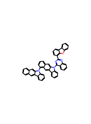 c1ccc2cc3c(cc2c1)c1ccccc1n3-c1cccc2cc3c(cc12)c1ccccc1n3-c1nc(-c2cccc3c2oc2ccccc23)nc2ccccc12